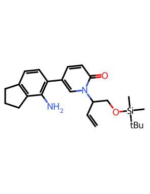 C=CC(CO[Si](C)(C)C(C)(C)C)n1cc(-c2ccc3c(c2N)CCC3)ccc1=O